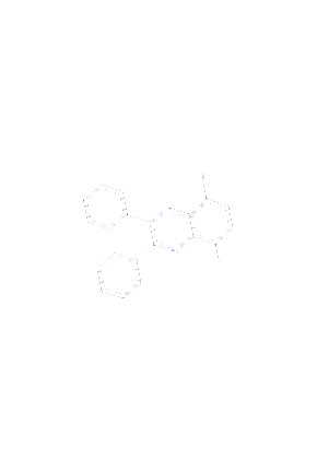 CC(C)c1ccc(C(C)C)c2nc(-c3ccccc3)c(-c3ccccc3)nc12